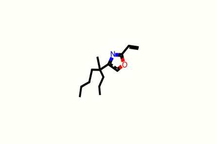 C=Cc1nc(C(C)(CCC)CCCC)co1